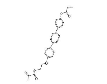 C=CC(=O)Sc1ccc(-c2ccc(-c3ccc(OCCSC(=O)C(=C)C)cc3)cc2)cc1